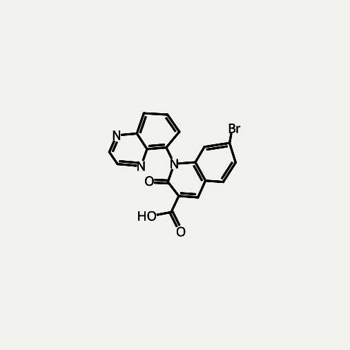 O=C(O)c1cc2ccc(Br)cc2n(-c2cccc3nccnc23)c1=O